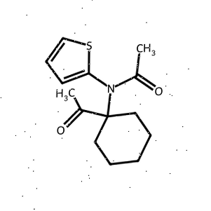 CC(=O)N(c1cccs1)C1(C(C)=O)CCCCC1